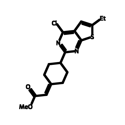 CCc1cc2c(Cl)nc(C3CCC(=CC(=O)OC)CC3)nc2s1